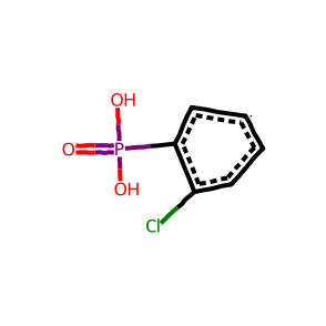 O=P(O)(O)c1c[c]ccc1Cl